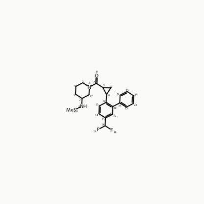 CSNC1CCCN(C(=O)C2CC2c2ccc(C(F)F)cc2-c2ccccc2)C1